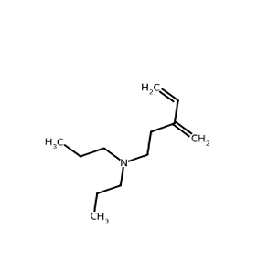 C=CC(=C)CCN(CCC)CCC